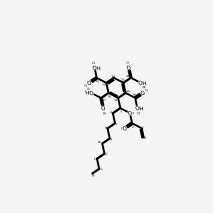 C=CC(=O)OC(CCCCCCCCC)c1c(C(=O)O)c(C(=O)O)cc(C(=O)O)c1C(=O)O